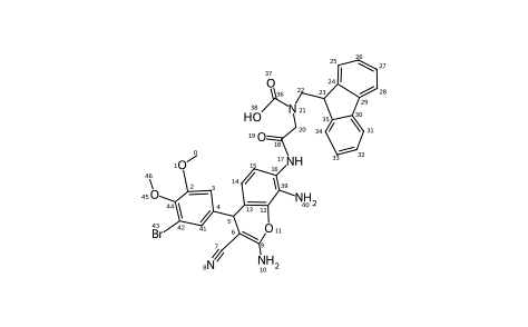 COc1cc(C2C(C#N)=C(N)Oc3c2ccc(NC(=O)CN(CC2c4ccccc4-c4ccccc42)C(=O)O)c3N)cc(Br)c1OC